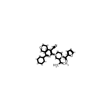 CC(C)C1CN(c2nc(C3CCCCC3)c3c(c2C#N)CCOC3)CCN1C(=O)c1ccco1